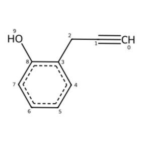 C#CCc1ccccc1O